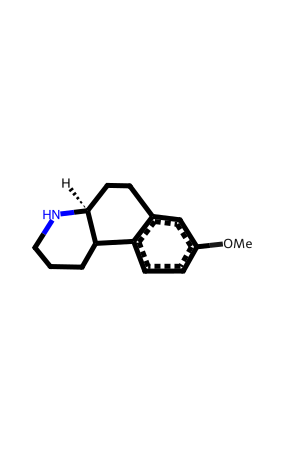 COc1ccc2c(c1)CC[C@@H]1NCCCC21